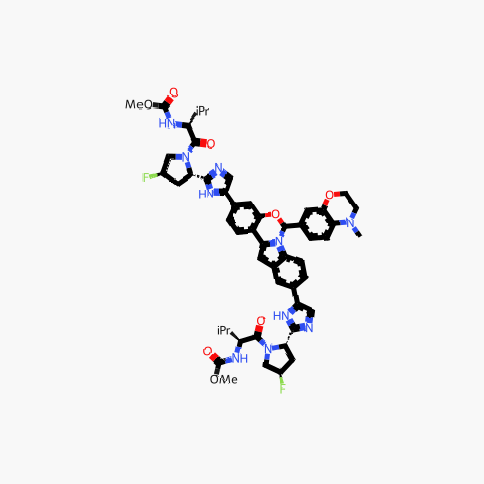 COC(=O)N[C@H](C(=O)N1C[C@H](F)C[C@H]1c1ncc(-c2ccc3c(c2)OC(c2ccc4c(c2)OCCN4C)n2c-3cc3cc(-c4cnc([C@@H]5C[C@@H](F)CN5C(=O)[C@@H](NC(=O)OC)C(C)C)[nH]4)ccc32)[nH]1)C(C)C